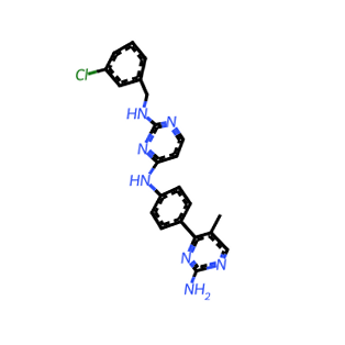 Cc1cnc(N)nc1-c1ccc(Nc2ccnc(NCc3cccc(Cl)c3)n2)cc1